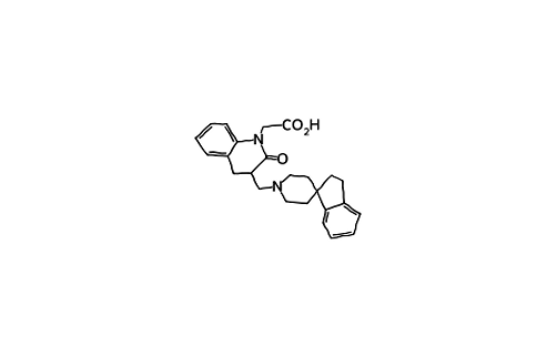 O=C(O)CN1C(=O)C(CN2CCC3(CCc4ccccc43)CC2)Cc2ccccc21